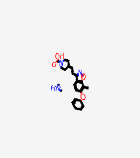 CNC.Cc1c(OC2C=CCCC2)ccc2c(CCC3CCN(C(=O)O)CC3)noc12